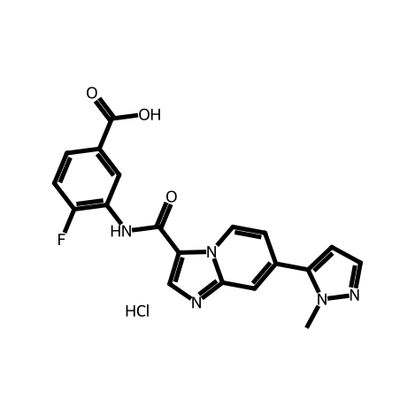 Cl.Cn1nccc1-c1ccn2c(C(=O)Nc3cc(C(=O)O)ccc3F)cnc2c1